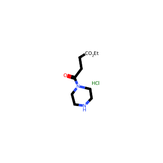 CCOC(=O)CCC(=O)N1CCNCC1.Cl